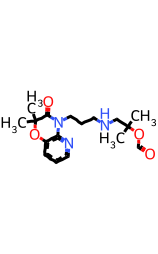 CC(C)(CNCCCN1C(=O)C(C)(C)Oc2cccnc21)OC=O